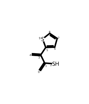 C=C(S)C(=C)c1cccs1